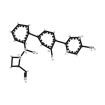 Nc1cnc(-c2ccc(-c3ccccc3[S+]([O-])N3CCC3C=O)cc2F)cn1